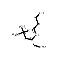 CNC[C@H](CC(C)(C)NC)OCCCO